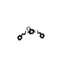 Clc1cc(OCCc2ccccc2)ccc1OCCc1ccccc1